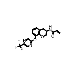 C=CC(=O)NC1COc2c(cccc2Oc2cnc(C(F)(F)F)cn2)C1